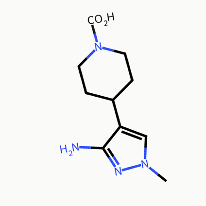 Cn1cc(C2CCN(C(=O)O)CC2)c(N)n1